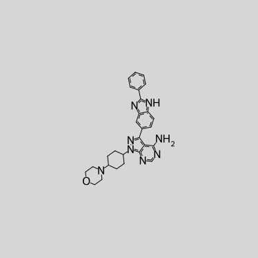 Nc1ncnc2c1c(-c1ccc3[nH]c(-c4ccccc4)nc3c1)nn2C1CCC(N2CCOCC2)CC1